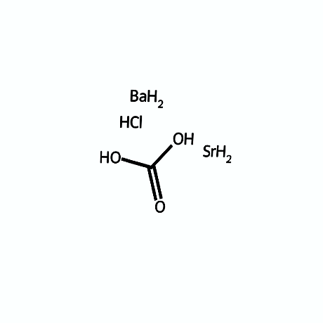 Cl.O=C(O)O.[BaH2].[SrH2]